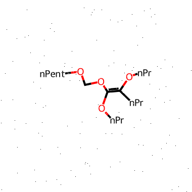 CCCCCOCOC(OCCC)=C(CCC)OCCC